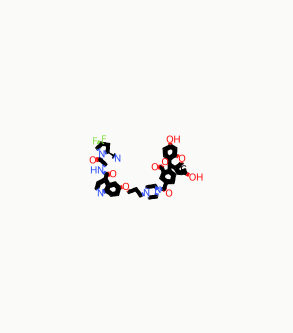 N#C[C@@H]1CC(F)(F)CN1C(=O)CNC(=O)c1ccnc2ccc(OCCCN3CCN(C(=O)c4ccc5c(c4)C(=O)OC54c5ccc(O)cc5Oc5cc(O)ccc54)CC3)cc12